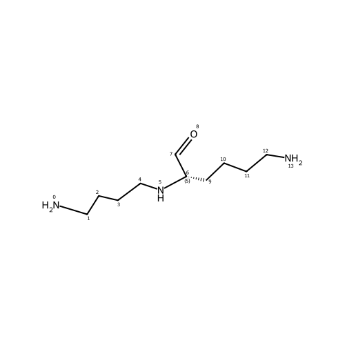 NCCCCN[C@H](C=O)CCCCN